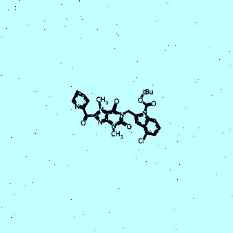 Cn1c(C(=O)c2ccccn2)nc2c1c(=O)n(Cc1cc3c(Cl)cccc3n1C(=O)OC(C)(C)C)c(=O)n2C